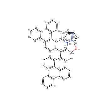 c1ccc(-c2ccccc2-c2ccccc2-c2ccc3oc4ccccc4c3c2-c2ccc(-c3ccccc3)c(-c3ccccc3)c2-c2ccnnn2)cc1